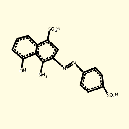 Nc1c(N=Nc2ccc(S(=O)(=O)O)cc2)cc(S(=O)(=O)O)c2cccc(O)c12